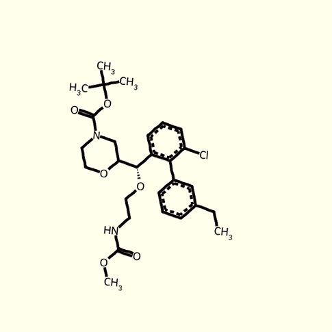 CCc1cccc(-c2c(Cl)cccc2[C@H](OCCNC(=O)OC)C2CN(C(=O)OC(C)(C)C)CCO2)c1